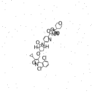 O=C(NS(=O)(=O)C1CCOCC1)c1ccc(N2C(=O)[C@@H]3C[C@H]2C[C@H]3OCc2c(-c3c(Cl)cccc3Cl)noc2C2CC2)cn1